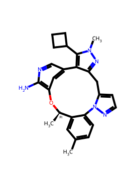 Cc1ccc2c(c1)[C@@H](C)Oc1cc(cnc1N)-c1c(nn(C)c1C1CCC1)Cc1ccnn1-2